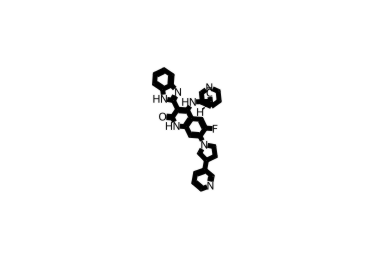 O=c1[nH]c2cc(N3CCC(c4cccnc4)C3)c(F)cc2c(N[C@H]2CN3CCC2CC3)c1-c1nc2ccccc2[nH]1